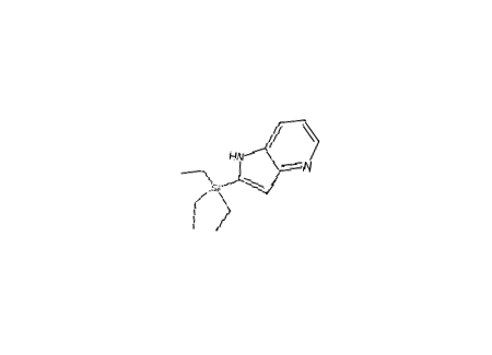 CC[Si](CC)(CC)c1cc2ncccc2[nH]1